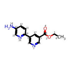 CCOC(=O)c1cncc(-c2ccc(N)cn2)c1